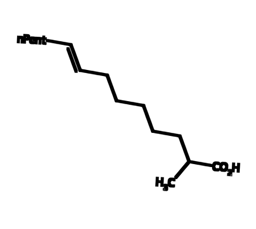 CCCCCC=CCCCCCC(C)C(=O)O